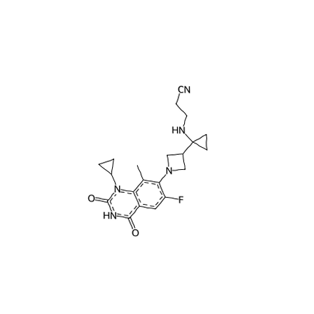 Cc1c(N2CC(C3(NCCC#N)CC3)C2)c(F)cc2c(=O)[nH]c(=O)n(C3CC3)c12